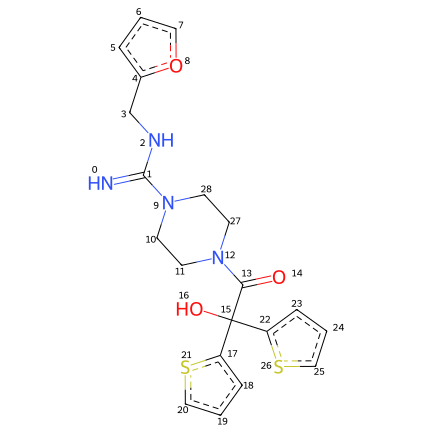 N=C(NCc1ccco1)N1CCN(C(=O)C(O)(c2cccs2)c2cccs2)CC1